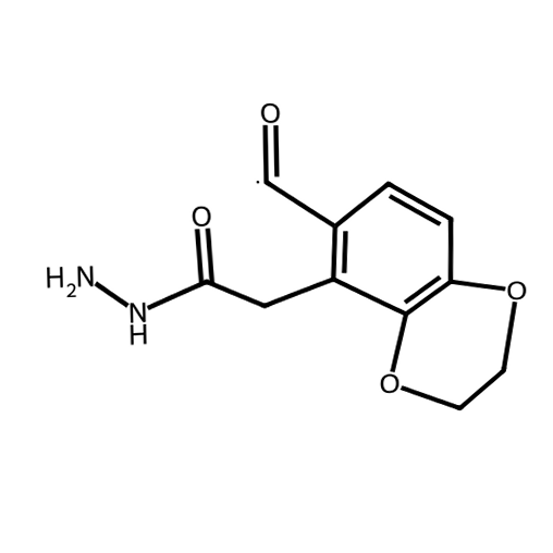 NNC(=O)Cc1c([C]=O)ccc2c1OCCO2